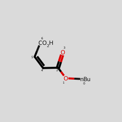 CCCCOC(=O)/C=C\C(=O)O